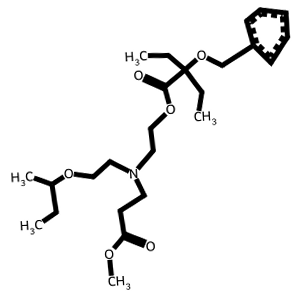 CCC(C)OCCN(CCOC(=O)C(CC)(CC)OCc1ccccc1)CCC(=O)OC